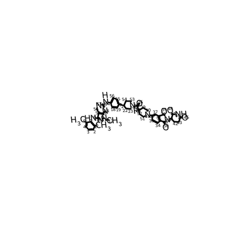 Cc1cccc(C)c1Nc1nn(C)c2nc(Nc3ccc(C4CCN(C(=O)C5(F)CCN(c6ccc7c(c6)C(=O)N(C6CCC(=O)NC6=O)C7=O)CC5)CC4)cc3)ncc12